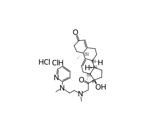 CN(CCN(C)c1ccccn1)CC(=O)[C@@]1(O)CC[C@H]2[C@@H]3CCC4=CC(=O)CC[C@]4(C)C3=CC[C@@]21C.Cl.Cl